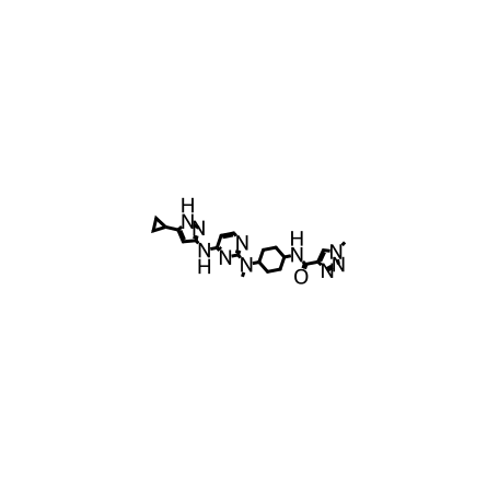 CN(c1nccc(Nc2cc(C3CC3)[nH]n2)n1)C1CCC(NC(=O)c2cn(C)nn2)CC1